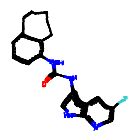 O=C(Nc1cccc2c1CCCC2)Nc1c[nH]c2ncc(F)cc12